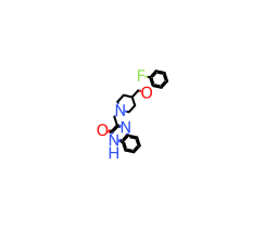 O=c1[nH]c2ccccc2nc1CN1CCC(COc2ccccc2F)CC1